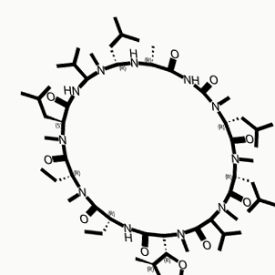 CC[C@@H]1C(=O)N(C)[C@@H](CC(C)C)C(=O)NC(C(C)C)N(C)[C@H](CC(C)C)N[C@H](C)C(=O)NC(=O)N(C)[C@H](CC(C)C)C(=O)N(C)[C@H](CC(C)C)C(=O)N(C)C(C(C)C)C(=O)N(C)C([C@@H]2OCC[C@H]2C)C(=O)N[C@H](CC)C(=O)N1C